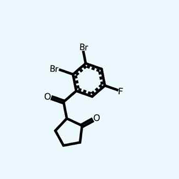 O=C1CCCC1C(=O)c1cc(F)cc(Br)c1Br